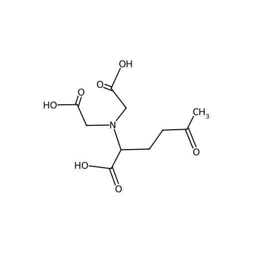 CC(=O)CCC(C(=O)O)N(CC(=O)O)CC(=O)O